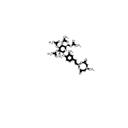 CC(=O)OC[C@H]1O[C@H](Oc2ccc(/C=C/B3OC(=O)CN(C)CC(=O)O3)cc2C)[C@@](N)(OC(C)=O)[C@@H](OC(C)=O)[C@@H]1OC(C)=O